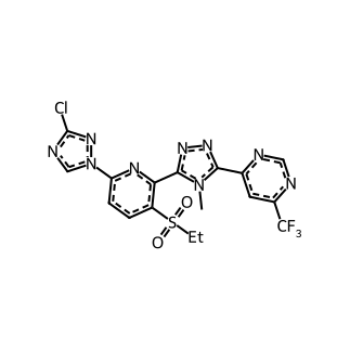 CCS(=O)(=O)c1ccc(-n2cnc(Cl)n2)nc1-c1nnc(-c2cc(C(F)(F)F)ncn2)n1C